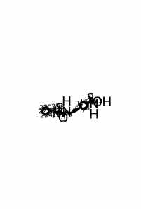 O=C(NCC#Cc1ccc(C(=S)NO)cc1)c1nc(-c2ccccc2)cs1